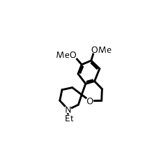 CCN1CCCC2(C1)OCCc1cc(OC)c(OC)cc12